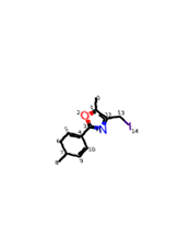 Cc1oc(C2=CCC(C)C=C2)nc1CI